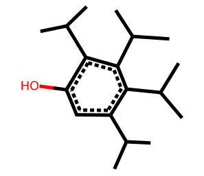 CC(C)c1cc(O)c(C(C)C)c(C(C)C)c1C(C)C